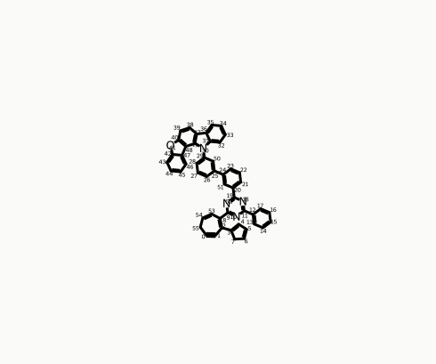 C1#CC(C2=CC=CC2)=C(c2nc(-c3ccccc3)nc(-c3cccc(-c4cccc(-n5c6ccccc6c6ccc7oc8ccccc8c7c65)c4)c3)n2)C=CC1